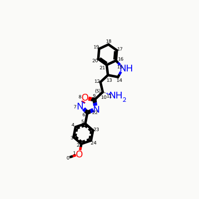 COc1ccc(-c2noc([C@@H](N)CC3CNC4=CCCC=C43)n2)cc1